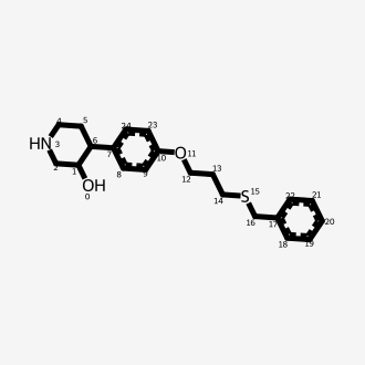 OC1CNCCC1c1ccc(OCCCSCc2ccccc2)cc1